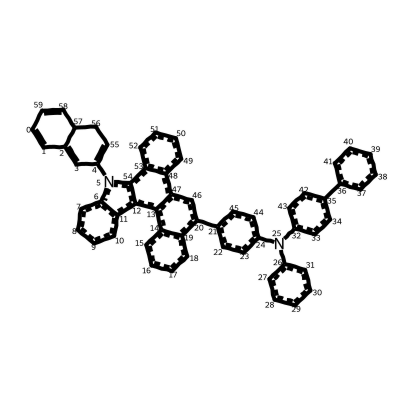 C1=CC2=CC(n3c4ccccc4c4c5c6ccccc6c(-c6ccc(N(c7ccccc7)c7ccc(-c8ccccc8)cc7)cc6)cc5c5ccccc5c43)=CCC2C=C1